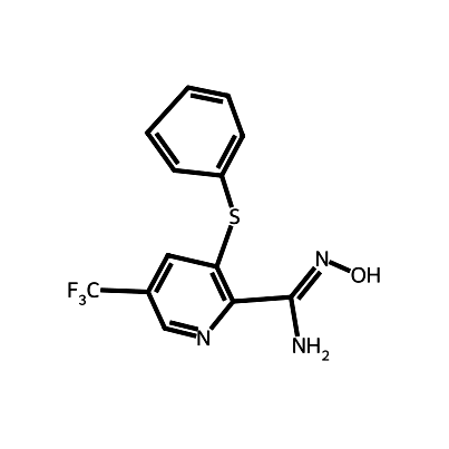 NC(=NO)c1ncc(C(F)(F)F)cc1Sc1ccccc1